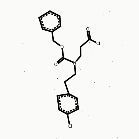 O=C(Cl)CCN(CCc1ccc(Cl)cc1)C(=O)OCc1ccccc1